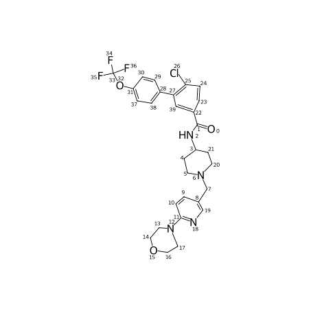 O=C(NC1CCN(Cc2ccc(N3CCOCC3)nc2)CC1)c1ccc(Cl)c(-c2ccc(OC(F)(F)F)cc2)c1